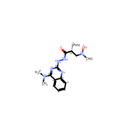 CCCCC[C@H](CN(O)C=O)C(=O)NNc1nc(N(C)C)c2ccccc2n1